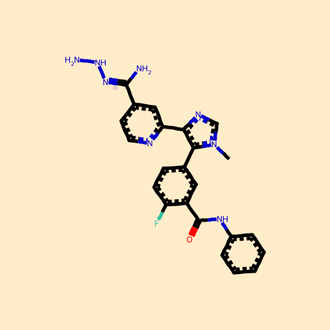 Cn1cnc(-c2cc(/C(N)=N/NN)ccn2)c1-c1ccc(F)c(C(=O)Nc2ccccc2)c1